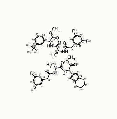 COC(=O)C(NC(=O)[C@H](C)NC(=O)Cc1cc(F)cc(F)c1)c1cc2c(s1)CCCC2.COC(=O)C(NC(=O)[C@H](C)NC(=O)Cc1cc(F)cc(F)c1)c1cccc(C(F)(F)F)c1